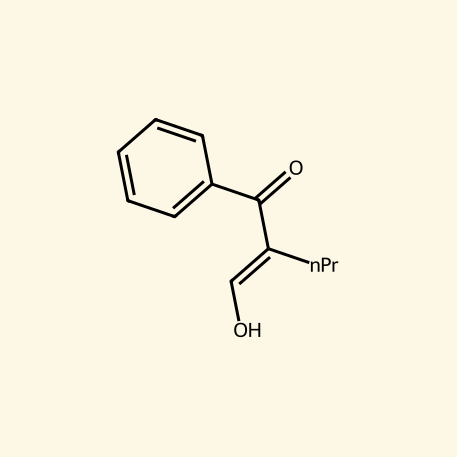 CCCC(=CO)C(=O)c1ccccc1